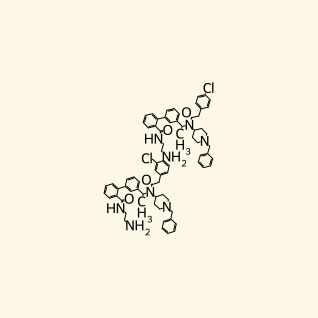 CC(c1cccc(-c2ccccc2C(=O)NCCN)c1)N(C(=O)Cc1ccc(Cl)cc1)C1CCN(Cc2ccccc2)CC1.CC(c1cccc(-c2ccccc2C(=O)NCCN)c1)N(C(=O)Cc1cccc(Cl)c1)C1CCN(Cc2ccccc2)CC1